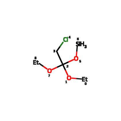 CCOC(CCl)(O[SiH3])OCC